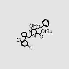 CC(C)(C)OC(=O)c1nc(CC2(c3cc(Cl)ccc3Cl)CCCC2)nc(O)c1OCc1ccccc1